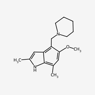 COc1cc(C)c2[nH]c(C)cc2c1CN1CCCCC1